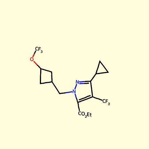 CCOC(=O)c1c(C(F)(F)F)c(C2CC2)nn1CC1CC(OC(F)(F)F)C1